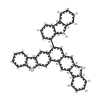 c1ccc2c(c1)oc1cc3c(cc12)c(-c1cccc2c1sc1ccccc12)cc1cc2sc4ccccc4c2cc13